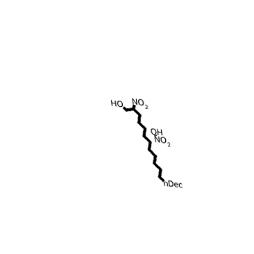 CCCCCCCCCCCCCCCCCCCCC(CO)[N+](=O)[O-].O=[N+]([O-])O